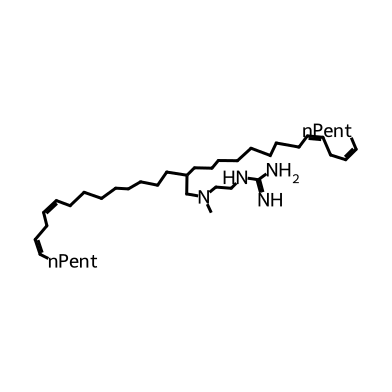 CCCCC/C=C\C/C=C\CCCCCCCCC(CCCCCCCC/C=C\C/C=C\CCCCC)CN(C)CCNC(=N)N